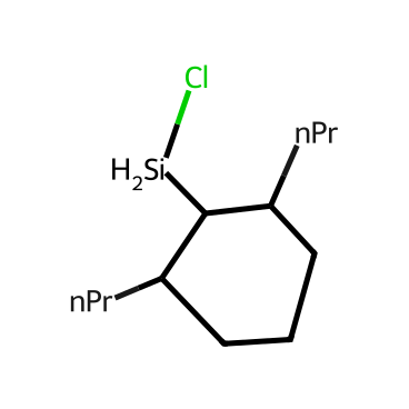 CCCC1CCCC(CCC)C1[SiH2]Cl